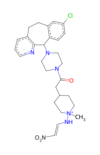 C[N+]1(NC=C[N+](=O)[O-])CCC(CC(=O)N2CCN(C3c4ccc(Cl)cc4CCc4cccnc43)CC2)CC1